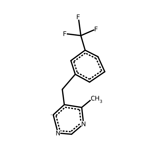 Cc1ncn[c]c1Cc1cccc(C(F)(F)F)c1